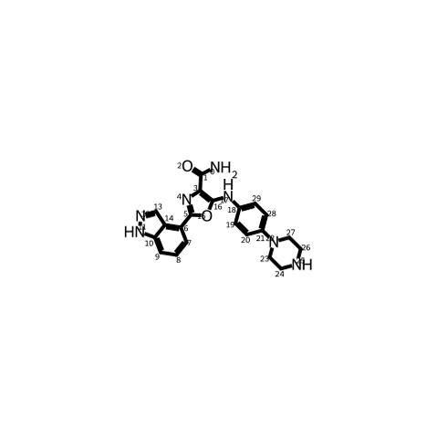 NC(=O)c1nc(-c2cccc3[nH]ncc23)oc1Nc1ccc(N2CCNCC2)cc1